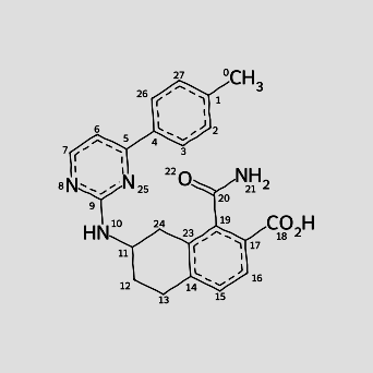 Cc1ccc(-c2ccnc(NC3CCc4ccc(C(=O)O)c(C(N)=O)c4C3)n2)cc1